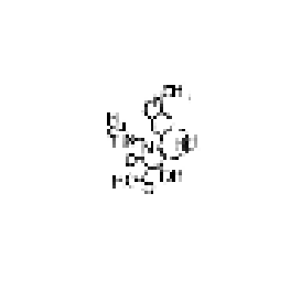 CCNCn1c2c(c(O)c(C(=O)O)c1=O)CCCCc1cc3c(ccn3C)cc1-2.Cl